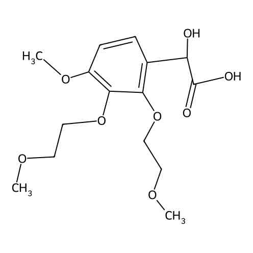 COCCOc1c(OC)ccc(C(O)C(=O)O)c1OCCOC